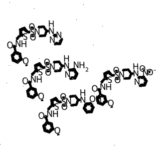 COc1cccc(C(=O)NCc2ccc(S(=O)(=O)N3CCC(Nc4ccccc4O)CC3)s2)c1.COc1cccc(C(=O)NCc2ccc(S(=O)(=O)N3CCC(Nc4ncccc4N)CC3)s2)c1.COc1cccc(C(=O)NCc2ccc(S(=O)(=O)N3CCC(Nc4ncccc4[N+](=O)[O-])CC3)s2)c1.COc1cccc(C(=O)NCc2ccc(S(=O)(=O)N3CCC(Nc4ncccn4)CC3)s2)c1